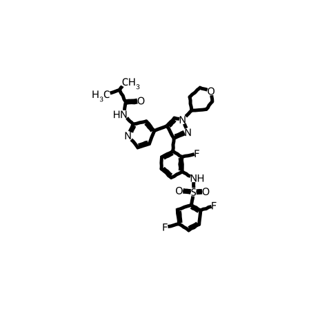 CC(C)C(=O)Nc1cc(-c2cn(C3CCOCC3)nc2-c2cccc(NS(=O)(=O)c3cc(F)ccc3F)c2F)ccn1